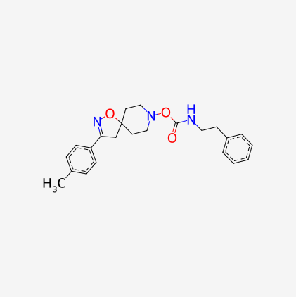 Cc1ccc(C2=NOC3(CCN(OC(=O)NCCc4ccccc4)CC3)C2)cc1